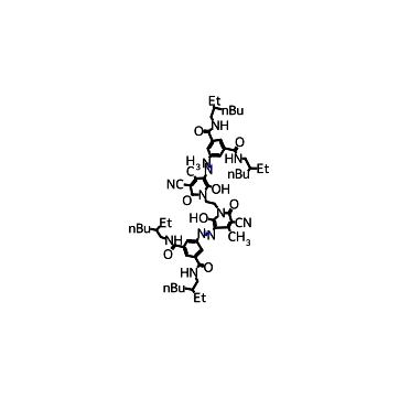 CCCCC(CC)CNC(=O)c1cc(/N=N/c2c(C)c(C#N)c(=O)n(CCn3c(O)c(/N=N/c4cc(C(=O)NCC(CC)CCCC)cc(C(=O)NCC(CC)CCCC)c4)c(C)c(C#N)c3=O)c2O)cc(C(=O)NCC(CC)CCCC)c1